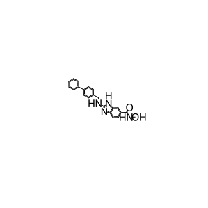 O=C(NO)c1ccc2nc(NCc3ccc(-c4ccccc4)cc3)[nH]c2c1